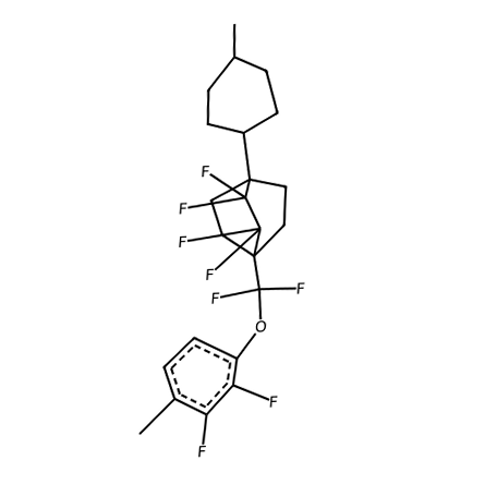 Cc1ccc(OC(F)(F)C23CCC(C4CCC(C)CC4)(CC2)C(F)(F)C3(F)F)c(F)c1F